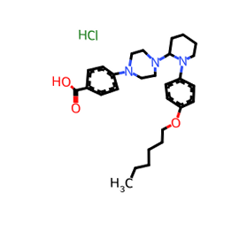 CCCCCCOc1ccc(N2CCCCC2N2CCN(c3ccc(C(=O)O)cc3)CC2)cc1.Cl